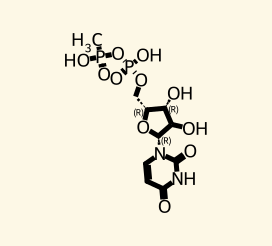 CP(=O)(O)OP(=O)(O)OC[C@H]1O[C@@H](n2ccc(=O)[nH]c2=O)C(O)[C@H]1O